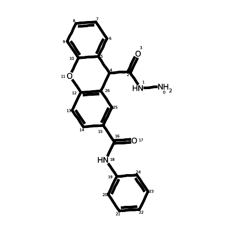 NNC(=O)C1c2ccccc2Oc2ccc(C(=O)Nc3ccccc3)cc21